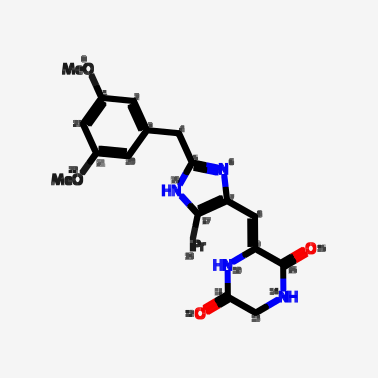 COc1cc(Cc2nc(C=C3NC(=O)CNC3=O)c(C(C)C)[nH]2)cc(OC)c1